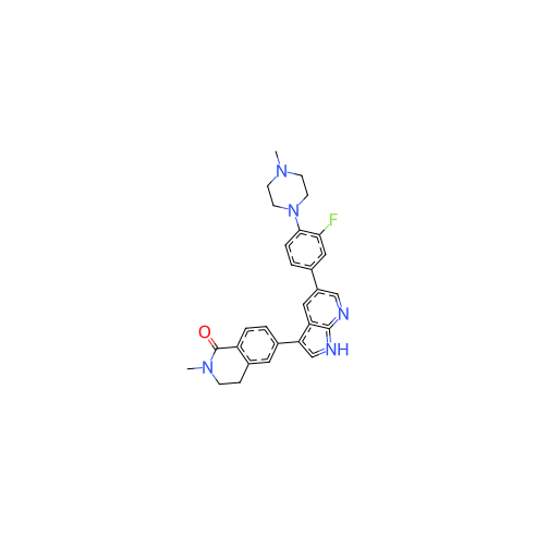 CN1CCN(c2ccc(-c3cnc4[nH]cc(-c5ccc6c(c5)CCN(C)C6=O)c4c3)cc2F)CC1